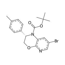 Cc1ccc([C@H]2COc3ncc(Br)cc3N2C(=O)OC(C)(C)C)cc1